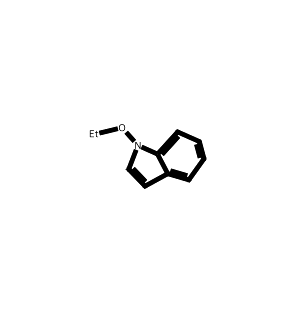 CCOn1[c]cc2ccccc21